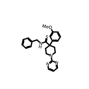 COc1cccc(C2(C(=S)NCc3ccccc3)CCN(c3ncccn3)CC2)c1